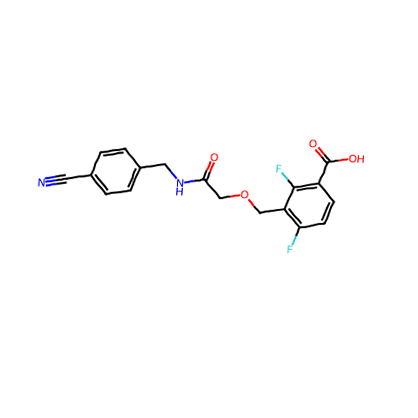 N#Cc1ccc(CNC(=O)COCc2c(F)ccc(C(=O)O)c2F)cc1